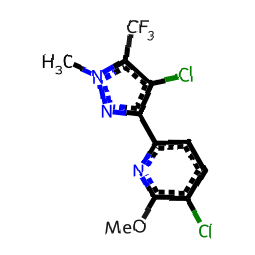 COc1nc(-c2nn(C)c(C(F)(F)F)c2Cl)ccc1Cl